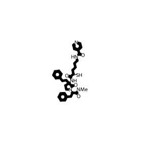 CNC(=O)C(Cc1ccccc1)N1CCC(CCc2ccccc2)(NC(=O)[C@@H](S)CCCCNC(=O)c2ccncc2)C1=O